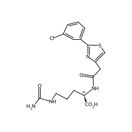 NC(=O)NCCC[C@@H](NC(=O)Cc1csc(-c2cccc(Cl)c2)n1)C(=O)O